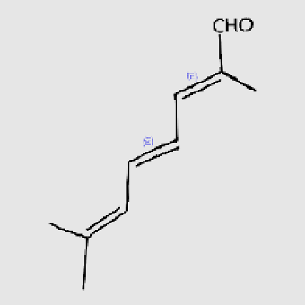 CC(C)=C/C=C/C=C(\C)C=O